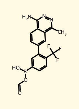 Cc1nnc(N)c2ccc(-c3cc(B(O)OC=O)ccc3C(F)(F)F)cc12